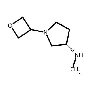 CN[C@H]1CCN(C2COC2)C1